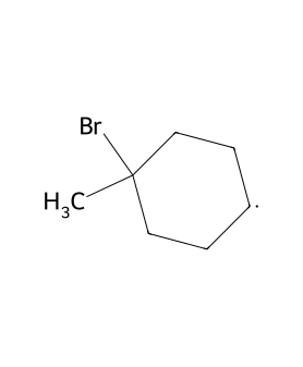 CC1(Br)CC[CH]CC1